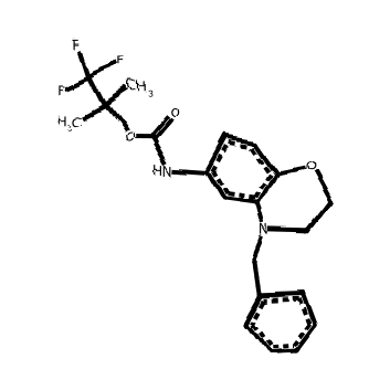 CC(C)(OC(=O)Nc1ccc2c(c1)N(Cc1ccccc1)CCO2)C(F)(F)F